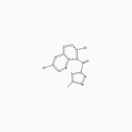 C=C(c1nnc(C)s1)c1c(Cl)ccc2cc(Cl)cnc12